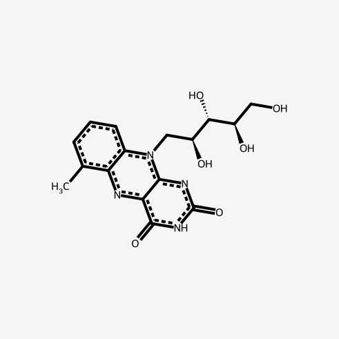 Cc1cccc2c1nc1c(=O)[nH]c(=O)nc-1n2C[C@H](O)[C@H](O)[C@H](O)CO